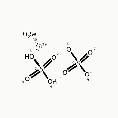 O=S(=O)(O)O.O=S(=O)([O-])[O-].[SeH2].[Zn+2]